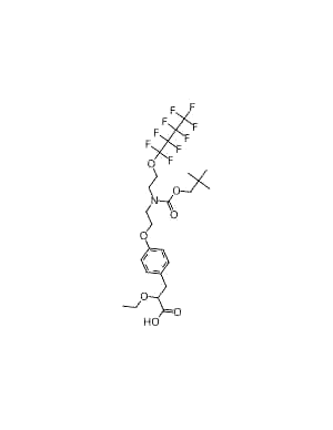 CCOC(Cc1ccc(OCCN(CCOC(F)(F)C(F)(F)C(F)(F)C(F)(F)F)C(=O)OCC(C)(C)C)cc1)C(=O)O